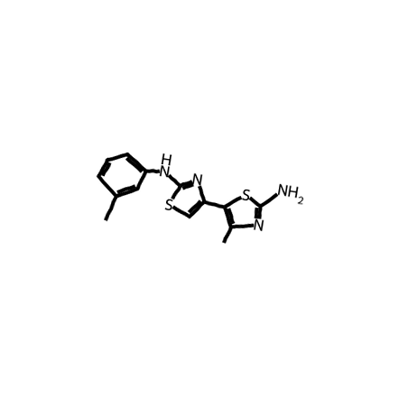 Cc1cccc(Nc2nc(-c3sc(N)nc3C)cs2)c1